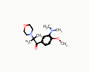 COc1ccc(C(=O)C(C)(C)N2CCOCC2)cc1N(C)C